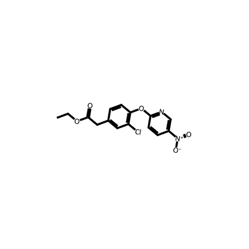 CCOC(=O)Cc1ccc(Oc2ccc([N+](=O)[O-])cn2)c(Cl)c1